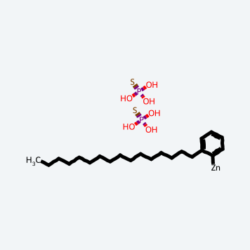 CCCCCCCCCCCCCCCCc1cccc[c]1[Zn].OP(O)(O)=S.OP(O)(O)=S